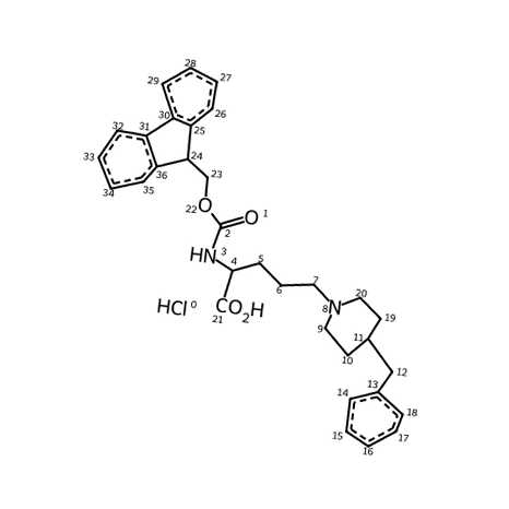 Cl.O=C(NC(CCCN1CCC(Cc2ccccc2)CC1)C(=O)O)OCC1c2ccccc2-c2ccccc21